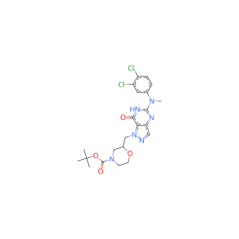 CN(c1ccc(Cl)c(Cl)c1)c1nc2cnn(CC3CN(C(=O)OC(C)(C)C)CCO3)c2c(=O)[nH]1